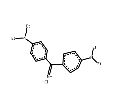 CCN(CC)c1ccc(C(=N)c2ccc(N(CC)CC)cc2)cc1.Cl